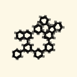 c1ccc(-c2cc(-c3cccc(-c4cccc(-c5nc(-c6ccccc6)c6c(n5)c5ccccc5n6-c5ccccc5)c4)c3)cc(-c3cccc4ccccc34)c2)cc1